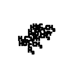 CCCC(C)(C)C(C)(C)OPC(C)(C)C(C)(C)O